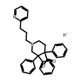 O=C([O-])C1(c2ccccc2)CCN(CCCc2ccccn2)CC1(c1ccccc1)c1ccccc1.[K+]